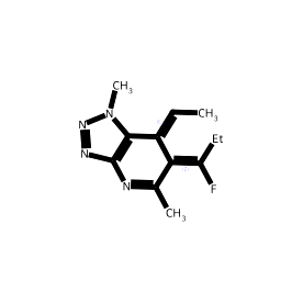 C/C=c1\c(=C(\F)CC)c(C)nc2nnn(C)c12